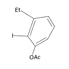 CCc1cccc(OC(C)=O)c1I